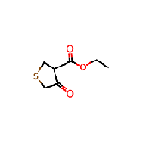 CCOC(=O)C1CSCC1=O